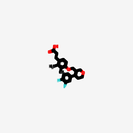 Cc1c(CCC(=O)O)ccc(OCC2=C(c3ccc(F)c(F)c3)CCOC2)c1C